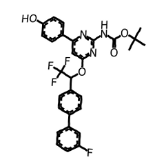 CC(C)(C)OC(=O)Nc1nc(OC(c2ccc(-c3cccc(F)c3)cc2)C(F)(F)F)cc(-c2ccc(O)cc2)n1